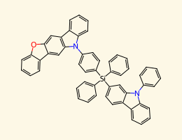 c1ccc(-n2c3ccccc3c3ccc([Si](c4ccccc4)(c4ccccc4)c4ccc(-n5c6ccccc6c6cc7oc8ccccc8c7cc65)cc4)cc32)cc1